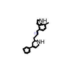 Cc1ccc(/C=C/CC2CC(c3ccccc3)=CCN2)c2cc[nH]c12